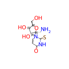 NC[C@@]1(n2ccc(=O)[nH]c2=S)O[C@H](CO)[C@@H](O)[C@H]1O